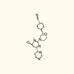 Cn1c(N2CCO[C@H](c3ccc(C#N)cc3)C2)nc(-c2ccncn2)cc1=O